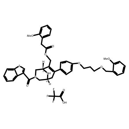 COc1ccccc1COCCCOc1ccc(C2=C(COC(=O)Cc3ccccc3OC)[C@H]3CN(C(=O)c4csc5ccccc45)C[C@@H](C2)N3)cc1.O=C(O)C(F)(F)F